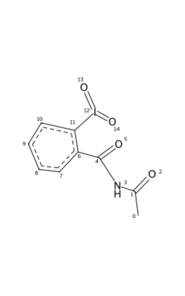 CC(=O)NC(=O)c1ccccc1I(=O)=O